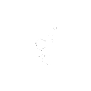 O=S(=O)(CCl)c1cccc(S(=O)(=O)CCl)c1